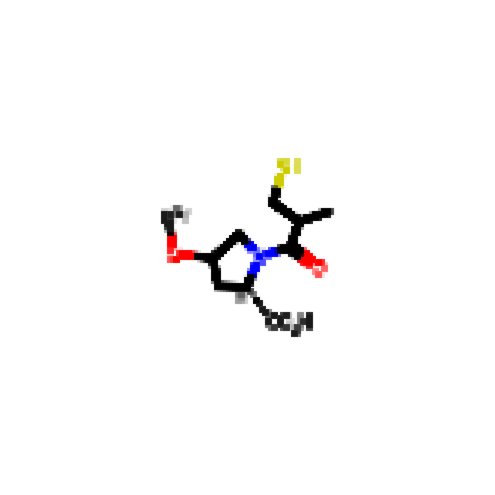 CCCOC1C[C@@H](C(=O)O)N(C(=O)C(C)CS)C1